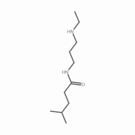 CCNCCCNC(=O)CCC(C)C